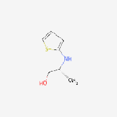 C[C@H](CO)Nc1cccs1